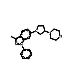 Cc1nn(-c2ccccc2)c2cc(N3CCC(N4CCNCC4)C3)ccc12